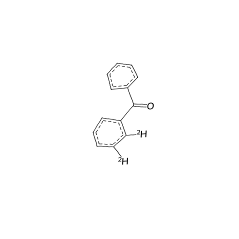 [2H]c1cccc(C(=O)c2ccccc2)c1[2H]